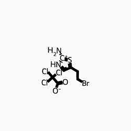 N[c+]1[nH]cc(CCBr)s1.O=C([O-])C(Cl)(Cl)Cl